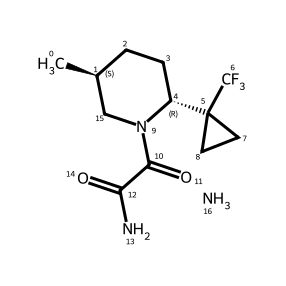 C[C@H]1CC[C@H](C2(C(F)(F)F)CC2)N(C(=O)C(N)=O)C1.N